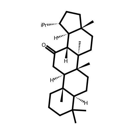 CC(C)[C@@H]1CC[C@]2(C)CC[C@]3(C)[C@H](C(=O)C[C@@H]4[C@@]5(C)CCCC(C)(C)[C@@H]5CC[C@]43C)[C@@H]12